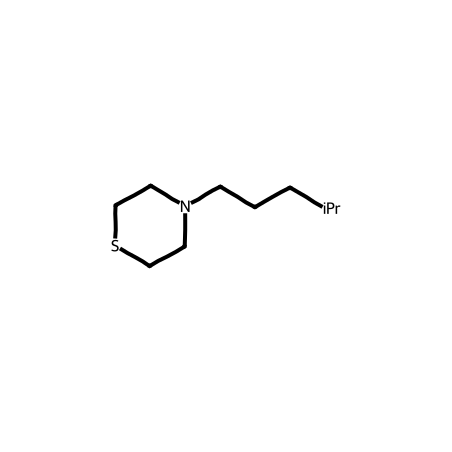 CC(C)CCCN1CCSCC1